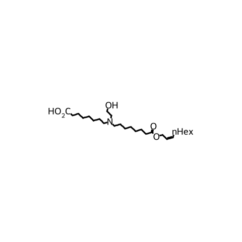 CCCCCC/C=C\COC(=O)CCCCCCCN(CCO)CCCCCCCC(=O)O